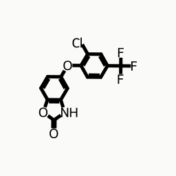 O=c1[nH]c2cc(Oc3ccc(C(F)(F)F)cc3Cl)ccc2o1